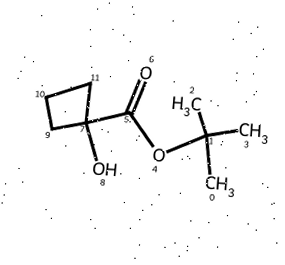 CC(C)(C)OC(=O)C1(O)CCC1